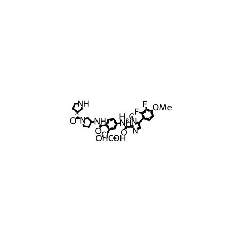 COc1ccc(-c2cnc(C(=O)Nc3ccc(C(=O)NC4CCN(C(=O)[C@@H]5CCNC5)C4)c(Cl)c3)n2C)c(F)c1F.O=CO